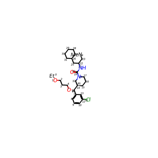 CCOCCCO[C@@H](c1cccc(Cl)c1)[C@@H]1CCCN(C(=O)NC(CNC)CC2CCCCC2)C1